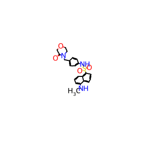 CNc1cccc2c(S(=O)(=O)Nc3ccc(CN4CCOCC4=O)cc3)cccc12